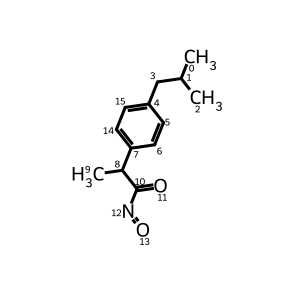 CC(C)Cc1ccc(C(C)C(=O)N=O)cc1